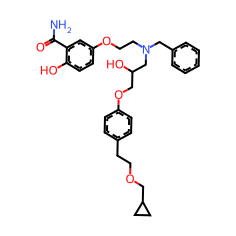 NC(=O)c1cc(OCCN(Cc2ccccc2)CC(O)COc2ccc(CCOCC3CC3)cc2)ccc1O